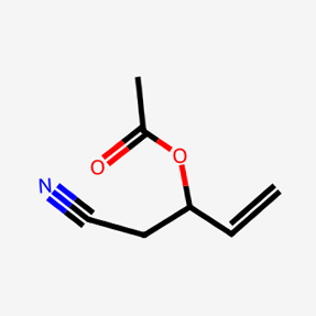 C=CC(CC#N)OC(C)=O